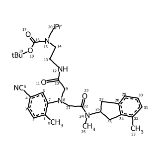 Cc1ccc(C#N)cc1N(CC(=O)NCCN(C(=O)OC(C)(C)C)C(C)C)CC(=O)N(C)C1Cc2cccc(C)c2C1